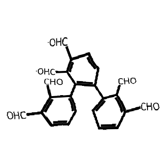 O=[C]c1ccc(-c2cccc(C=O)c2C=O)c(-c2cccc(C=O)c2C=O)c1[C]=O